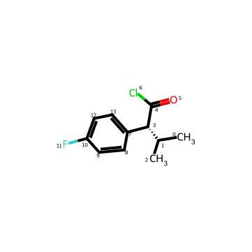 CC(C)[C@@H](C(=O)Cl)c1ccc(F)cc1